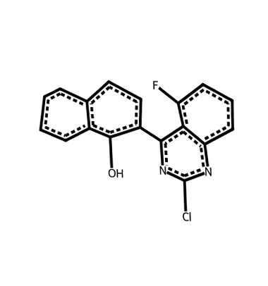 Oc1c(-c2nc(Cl)nc3cccc(F)c23)ccc2ccccc12